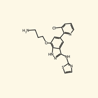 NCCCOc1cc(-c2ncccc2Cl)cc2c(Nc3nccs3)n[nH]c12